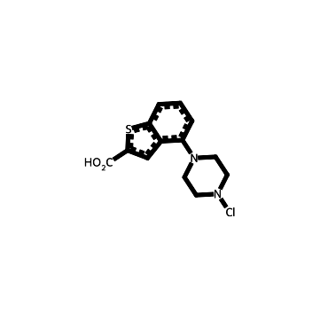 O=C(O)c1cc2c(N3CCN(Cl)CC3)cccc2s1